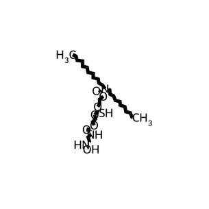 CCCCCCCCCCCCN(CCCCCCCCCCC)C(=O)OCCOC(S)OCCOC(=O)NCCNO